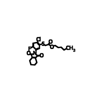 CCCCCOC(=O)CSc1cc(N2C(=O)C3=C(CCCC3)C2=O)c(F)cc1Cl